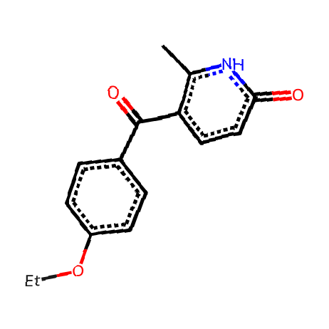 CCOc1ccc(C(=O)c2ccc(=O)[nH]c2C)cc1